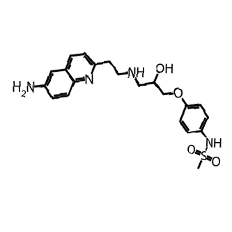 CS(=O)(=O)Nc1ccc(OCC(O)CNCCc2ccc3cc(N)ccc3n2)cc1